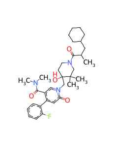 CC(CC1CCCCC1)C(=O)N1CCC(O)(Cn2cc(C(=O)N(C)C)c(-c3ccccc3F)cc2=O)C(C)(C)C1